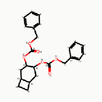 O=C(OCc1ccccc1)OC1CC2CCC2CC1OC(=O)OCc1ccccc1